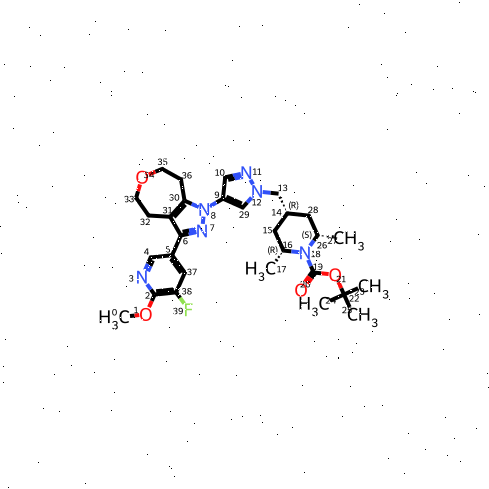 COc1ncc(-c2nn(-c3cnn(C[C@H]4C[C@@H](C)N(C(=O)OC(C)(C)C)[C@@H](C)C4)c3)c3c2CCOCC3)cc1F